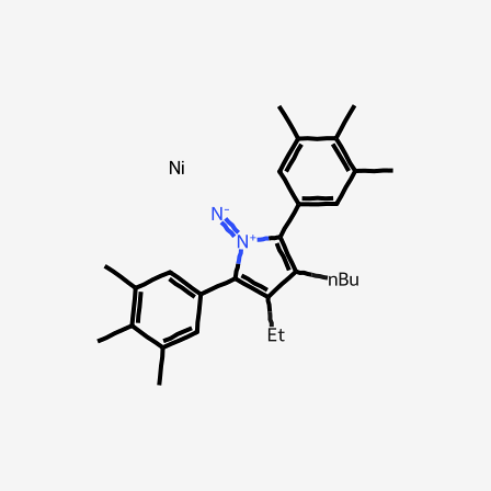 CCCCC1=C(c2cc(C)c(C)c(C)c2)[N+](=[N-])C(c2cc(C)c(C)c(C)c2)=C1CC.[Ni]